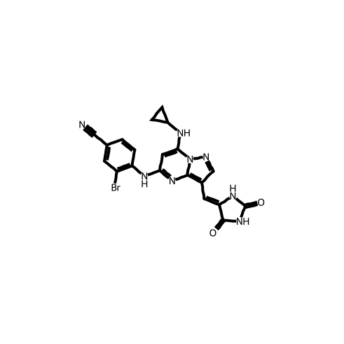 N#Cc1ccc(Nc2cc(NC3CC3)n3ncc(C=C4NC(=O)NC4=O)c3n2)c(Br)c1